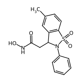 Cc1ccc2c(c1)C(CC(=O)NO)N(c1ccccc1)S2(=O)=O